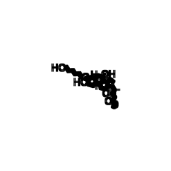 COC(=O)CC[C@@H](C)[C@H]1CC[C@H]2[C@@H]3[C@H](O)C[C@@H]4C[C@@](O)(OCCCCCCO)CC[C@]4(C)[C@H]3C[C@H](O)[C@]12C